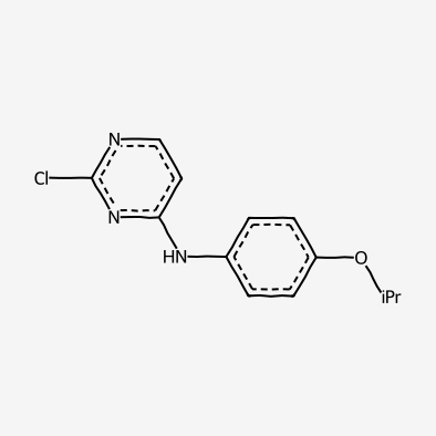 CC(C)Oc1ccc(Nc2ccnc(Cl)n2)cc1